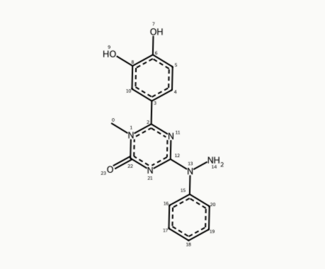 Cn1c(-c2ccc(O)c(O)c2)nc(N(N)c2ccccc2)nc1=O